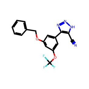 N#Cc1[nH]nnc1-c1cc(OCc2ccccc2)cc(OC(F)(F)F)c1